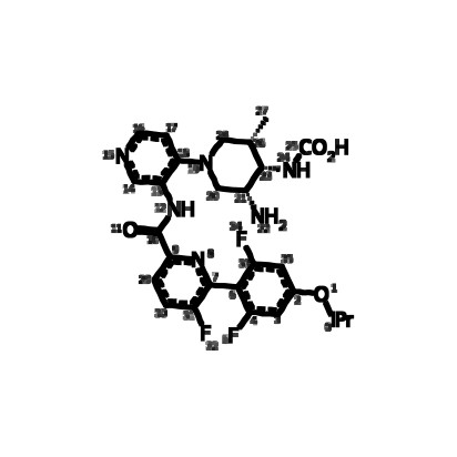 CC(C)Oc1cc(F)c(-c2nc(C(=O)Nc3cnccc3N3C[C@@H](N)[C@@H](NC(=O)O)[C@@H](C)C3)ccc2F)c(F)c1